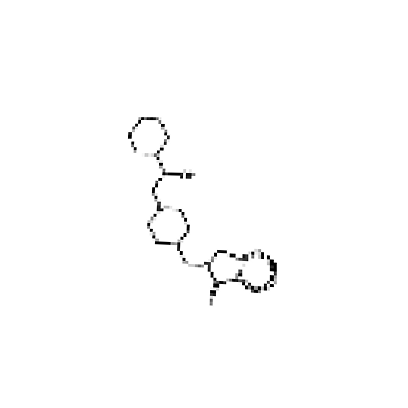 O=C1c2ccccc2CN1CC1CCN(CC(O)C2CCCCC2)CC1